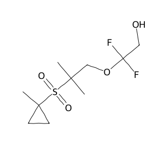 CC(C)(COC(F)(F)CO)S(=O)(=O)C1(C)CC1